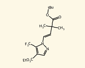 CCOC(=O)c1cnn(/C=C/C(C)(C)C(=O)OC(C)(C)C)c1C(F)(F)F